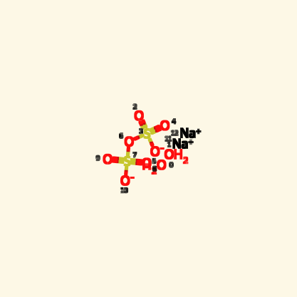 O.O.O=S(=O)([O-])OS(=O)(=O)[O-].[Na+].[Na+]